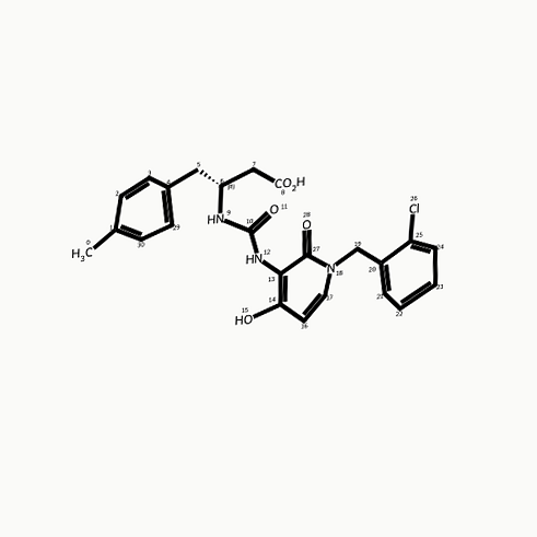 Cc1ccc(C[C@H](CC(=O)O)NC(=O)Nc2c(O)ccn(Cc3ccccc3Cl)c2=O)cc1